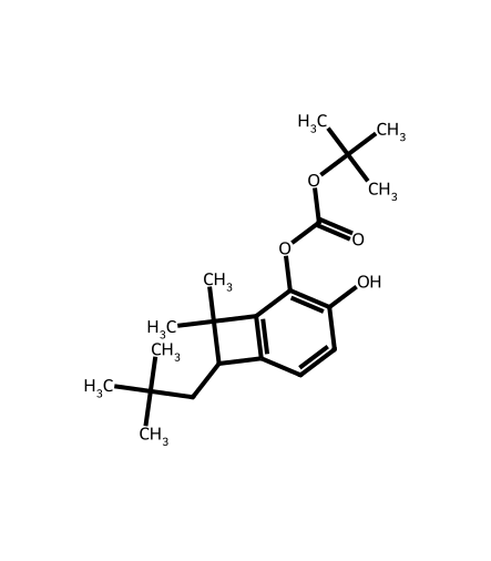 CC(C)(C)CC1c2ccc(O)c(OC(=O)OC(C)(C)C)c2C1(C)C